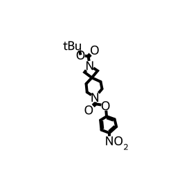 CC(C)(C)OC(=O)N1CC2(CCN(C(=O)Oc3ccc([N+](=O)[O-])cc3)CC2)C1